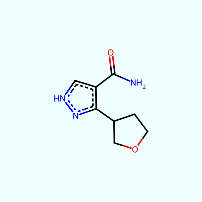 NC(=O)c1c[nH]nc1C1CCOC1